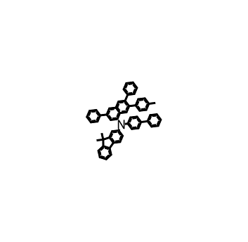 Cc1ccc(-c2cc3c(N(c4ccc(-c5ccccc5)cc4)c4ccc5c(c4)C(C)(C)c4ccccc4-5)cc(-c4ccccc4)cc3cc2-c2ccccc2)cc1